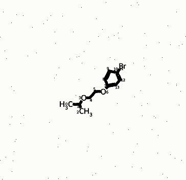 CC(C)OCCOc1ccc(Br)cc1